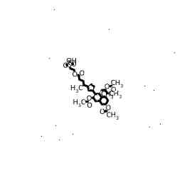 CCC(C[C@H]1[C@H]([C@@H]2CC[C@H]([C@H](C)CCC(=O)OCCS(=O)(=O)O)C2)C(OC(C)=O)CC2CC(OC(C)=O)CC[C@@]21C)OC(C)=O